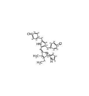 CCC1=C(C)/C(=C/c2[nH]c(Cc3ccc(Cl)cc3)cc2Cc2ccc(Cl)cc2)N=C1c1ccc[nH]1